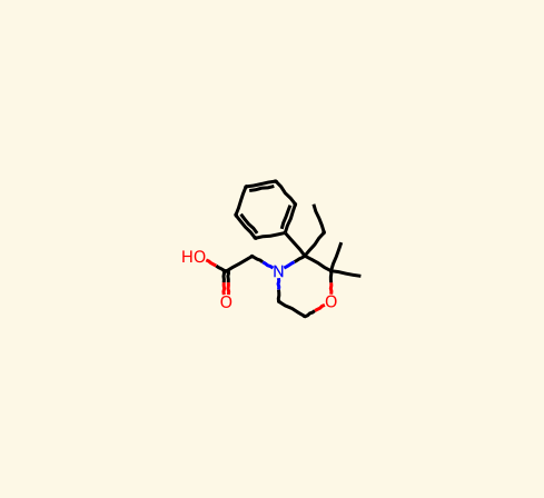 CCC1(c2ccccc2)N(CC(=O)O)CCOC1(C)C